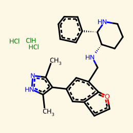 Cc1n[nH]c(C)c1-c1cc(CN[C@H]2CCCN[C@H]2c2ccccc2)c2occc2c1.Cl.Cl.Cl